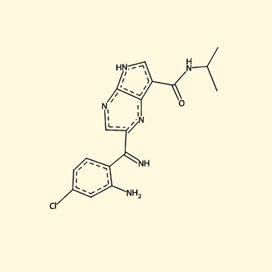 CC(C)NC(=O)c1c[nH]c2ncc(C(=N)c3ccc(Cl)cc3N)nc12